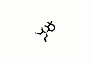 C=CCN(C(=O)CBr)C1=C(C)C(C)(C)CCC1